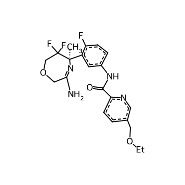 CCOCc1ccc(C(=O)Nc2ccc(F)c([C@@]3(C)N=C(N)COCC3(F)F)c2)nc1